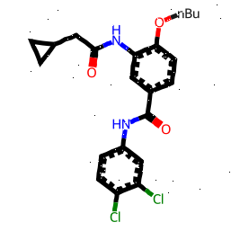 CCCCOc1ccc(C(=O)Nc2ccc(Cl)c(Cl)c2)cc1NC(=O)CC1CC1